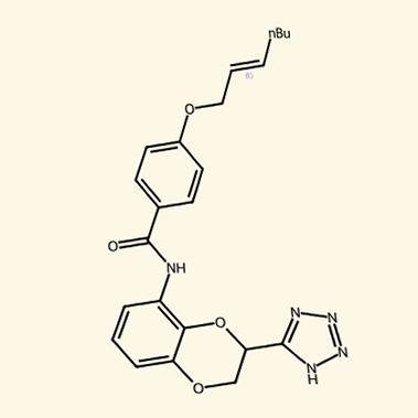 CCCC/C=C/COc1ccc(C(=O)Nc2cccc3c2OC(c2nnn[nH]2)CO3)cc1